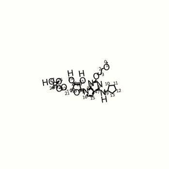 COCCOc1nc(NC2CCCC2)c2ccn([C@@H]3O[C@H](COOP(C)(=O)O)[C@@H](O)[C@H]3O)c2n1